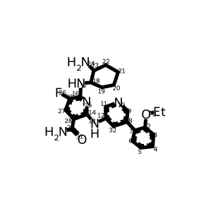 CCOc1ccccc1-c1cncc(Nc2nc(NC3CCCCC3N)c(F)cc2C(N)=O)c1